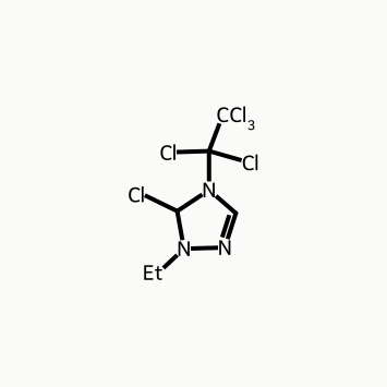 CCN1N=CN(C(Cl)(Cl)C(Cl)(Cl)Cl)C1Cl